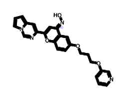 O/N=c1\cc(-c2cc3cccn3cn2)oc2ccc(OCCCOc3cccnc3)cc12